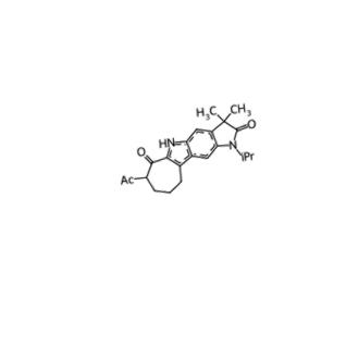 CC(=O)C1CCCc2c([nH]c3cc4c(cc23)N(C(C)C)C(=O)C4(C)C)C1=O